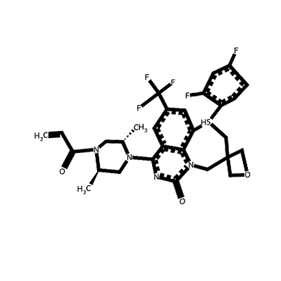 C=CC(=O)N1C[C@H](C)N(c2nc(=O)n3c4c(cc(C(F)(F)F)cc24)[SH](c2ccc(F)cc2F)CC2(COC2)C3)C[C@H]1C